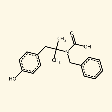 CC(C)(Cc1ccc(O)cc1)N(Cc1ccccc1)C(=O)O